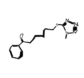 Cn1nnnc1SCCCCCC(=O)c1ccccc1